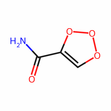 NC(=O)C1=COOO1